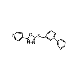 c1ccc(-c2cccc(CSc3nnc(-c4ccncc4)o3)c2)cc1